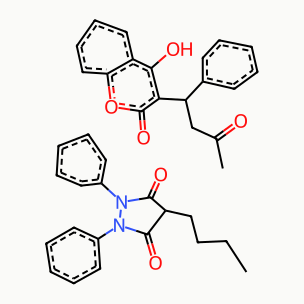 CC(=O)CC(c1ccccc1)c1c(O)c2ccccc2oc1=O.CCCCC1C(=O)N(c2ccccc2)N(c2ccccc2)C1=O